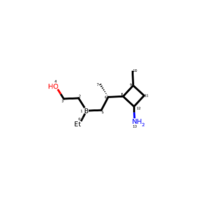 CCB(CCO)C[C@H](C)C1C(C)CC1N